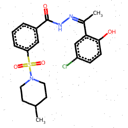 CC(=NNC(=O)c1cccc(S(=O)(=O)N2CCC(C)CC2)c1)c1cc(Cl)ccc1O